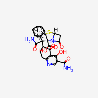 CC1(C)S[C@@H]2CC(=O)N2[C@@]1(C(=O)O)C(C(N)=O)(c1ccccc1)C1CCc2ncc(C(N)=O)c(O)c2C1=O